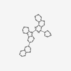 c1ccc(-c2nc(-n3c4ccccc4c4cc(-c5ccc6ccccc6c5)ccc43)nc3c2ccc2ccccc23)cc1